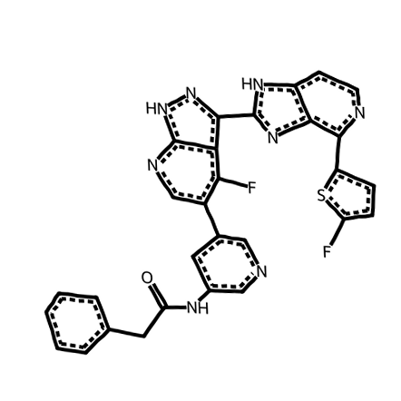 O=C(Cc1ccccc1)Nc1cncc(-c2cnc3[nH]nc(-c4nc5c(-c6ccc(F)s6)nccc5[nH]4)c3c2F)c1